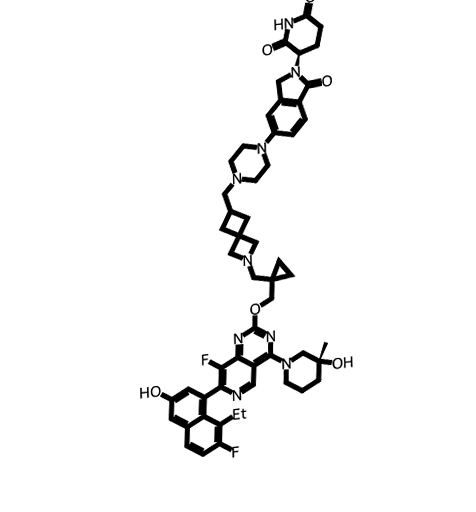 CCc1c(F)ccc2cc(O)cc(-c3ncc4c(N5CCC[C@@](C)(O)C5)nc(OCC5(CN6CC7(CC(CN8CCN(c9ccc%10c(c9)CN([C@@H]9CCC(=O)NC9=O)C%10=O)CC8)C7)C6)CC5)nc4c3F)c12